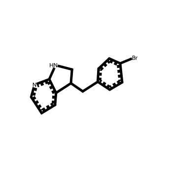 Brc1ccc(CC2CNc3ncccc32)cc1